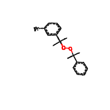 CC(C)c1cccc(C(C)(C)OOC(C)(C)c2ccccc2)c1